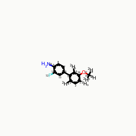 [2H]c1cc([2H])c(-c2ccc(N)c(F)c2)c([2H])c1OC([2H])([2H])[2H]